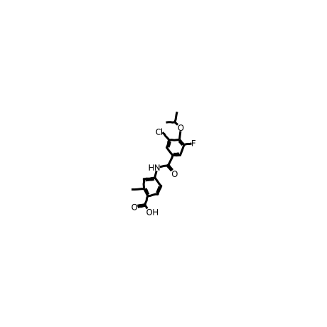 Cc1cc(NC(=O)c2cc(F)c(OC(C)C)c(Cl)c2)ccc1C(=O)O